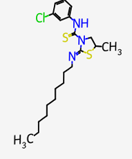 CCCCCCCCCCN=C1SC(C)CN1C(=S)Nc1cccc(Cl)c1